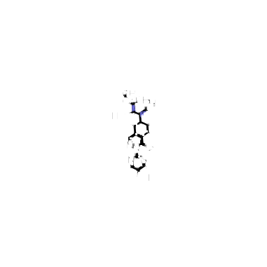 C/C=C(\C(C)=C(/C)OC)C1CCc2c(cnn(-c3ncc(C)cn3)c2=O)C1